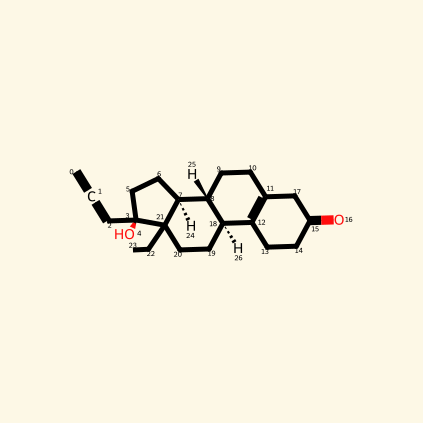 C=C=C[C@]1(O)CC[C@H]2[C@@H]3CCC4=C(CCC(=O)C4)[C@H]3CCC21CC